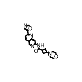 O=C(Nc1cc2nc(-c3cnco3)ccc2cn1)C1CC(N2CCOCC2)C1